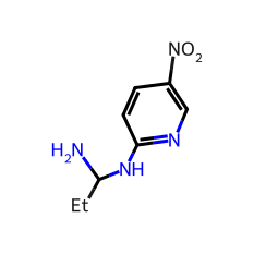 [CH2]CC(N)Nc1ccc([N+](=O)[O-])cn1